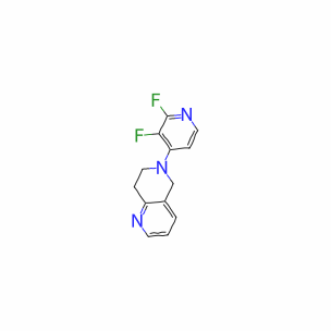 Fc1nccc(N2CCc3ncccc3C2)c1F